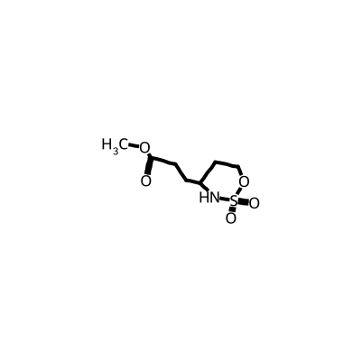 COC(=O)CCC1CCOS(=O)(=O)N1